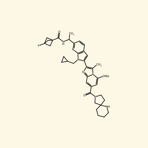 COc1cc(C(=O)N2CCC3(CCCCN3)C2)cc2nc(-c3cc4ccc(C(C)NC(=O)C56CC(F)(C5)C6)nc4n3CC3CC3)c(C)n12